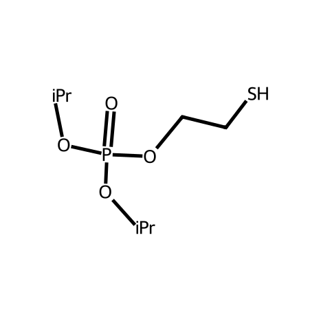 CC(C)OP(=O)(OCCS)OC(C)C